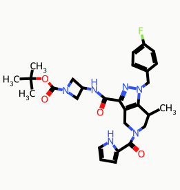 CC1CN(C(=O)c2ccc[nH]2)Cc2c(C(=O)NC3CN(C(=O)OC(C)(C)C)C3)nn(Cc3ccc(F)cc3)c21